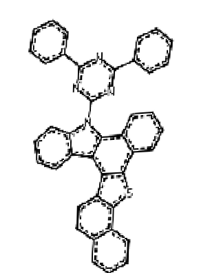 c1ccc(-c2nc(-c3ccccc3)nc(-n3c4ccccc4c4c5c6ccc7ccccc7c6sc5c5ccccc5c43)n2)cc1